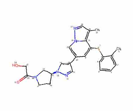 N#Cc1ccccc1Sc1cc(-c2cnn([C@H]3CCN(C(=O)CO)C3)c2)cn2ncc(C#N)c12